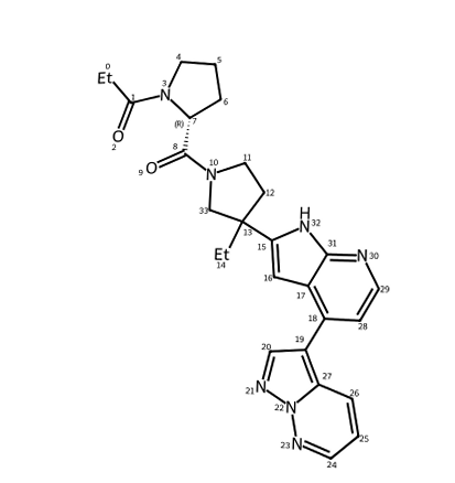 CCC(=O)N1CCC[C@@H]1C(=O)N1CCC(CC)(c2cc3c(-c4cnn5ncccc45)ccnc3[nH]2)C1